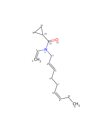 C=CN(C/C=C/CC/C=C\CC)C(=O)C1CC1